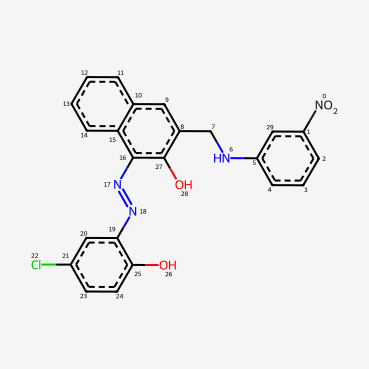 O=[N+]([O-])c1cccc(NCc2cc3ccccc3c(N=Nc3cc(Cl)ccc3O)c2O)c1